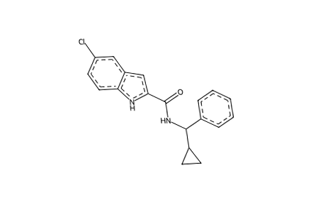 O=C(NC(c1ccccc1)C1CC1)c1cc2cc(Cl)ccc2[nH]1